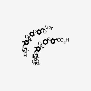 Cc1cc(N(C)C(=O)[C@H]2CC[C@H](Oc3cccc(CC(=O)N(C)C(C)C)c3)CC2)ccc1CN1CCN[C@@H](C)C1.Cc1cc(N(C)C(=O)[C@H]2CC[C@H](Oc3cccc(CC(=O)O)c3)CC2)ccc1CN1CCN(C(=O)OC(C)(C)C)[C@@H](C)C1